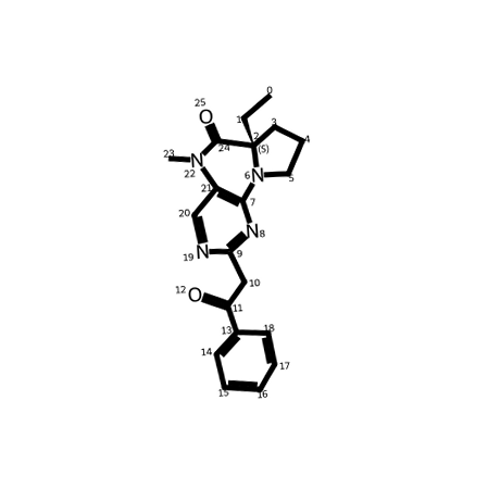 CC[C@@]12CCCN1c1nc(CC(=O)c3ccccc3)ncc1N(C)C2=O